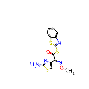 CON=C(C(=O)Sc1nc2ccccc2s1)c1csc(N)n1